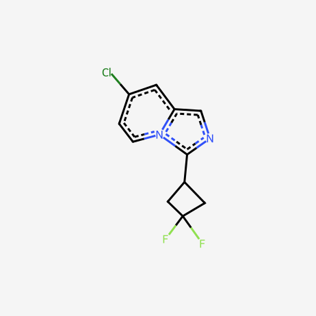 FC1(F)CC(c2ncc3cc(Cl)ccn23)C1